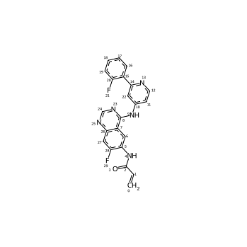 C=CC(=O)Nc1cc2c(Nc3ccnc(-c4ccccc4F)c3)ncnc2cc1F